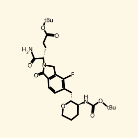 CC(C)(C)OC(=O)CC[C@@H](C(N)=O)N1Cc2c(ccc(C[C@H]3OCCC[C@@H]3NC(=O)OC(C)(C)C)c2F)C1=O